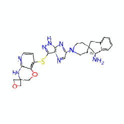 N[C@@H]1c2ccccc2CC12CCN(c1cnc3c(Sc4ccnc5c4OCC4(COC4)N5)n[nH]c3n1)CC2